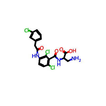 NCC(NC(=O)c1c(Cl)ccc(NC(=O)Cc2cccc(Cl)c2)c1Cl)C(=O)O